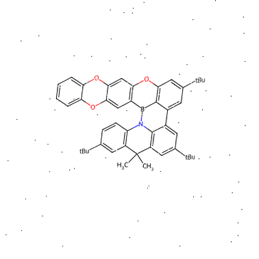 CC(C)(C)c1cc2c3c(c1)-c1cc(C(C)(C)C)cc4c1N(B3c1cc3c(cc1O2)Oc1ccccc1O3)c1ccc(C(C)(C)C)cc1C4(C)C